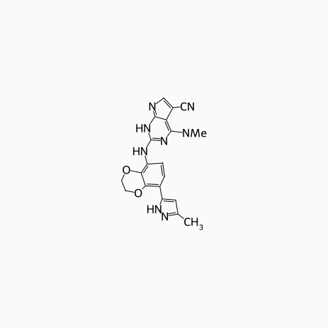 CNc1nc(Nc2ccc(-c3cc(C)n[nH]3)c3c2OCCO3)[nH]c2ncc(C#N)c1-2